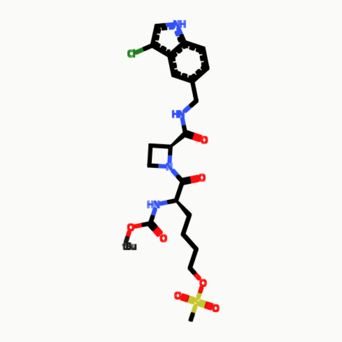 CC(C)(C)OC(=O)N[C@H](CCCCOS(C)(=O)=O)C(=O)N1CC[C@H]1C(=O)NCc1ccc2[nH]cc(Cl)c2c1